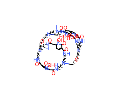 O=C1NCCN2CCNC(=O)c3ccc(c(=O)n3O)C(=O)NCCN(CCNC(=O)c3ccc1c(=O)n3O)CCOCCN1CCNC(=O)c3ccc(n(O)c3=O)C(=O)NCCN(CCNC(=O)c3ccc(n(O)c3=O)C(=O)NCC1)CCOCC2